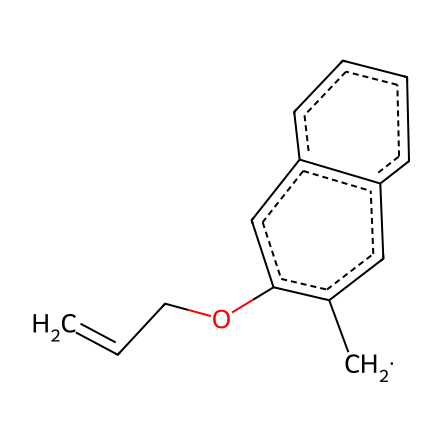 [CH2]c1cc2ccccc2cc1OCC=C